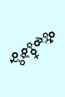 CC(C)(C)c1ccc(N2[C@@H](c3ccc4nc([C@@H]5CCCN5OCC5(c6ccccc6)CC5)[nH]c4c3)CC[C@@H]2c2ccc3nc([C@@H]4CCCN4C(=O)C4(c5ccccc5)CC4)[nH]c3c2)cc1